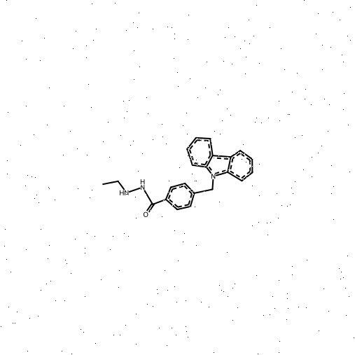 CCNNC(=O)c1ccc(Cn2c3ccccc3c3ccccc32)cc1